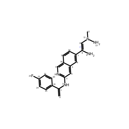 C=C(Nc1cc2cc(/C(N)=C/N(C)N)ccc2cn1)c1ccc(F)cc1